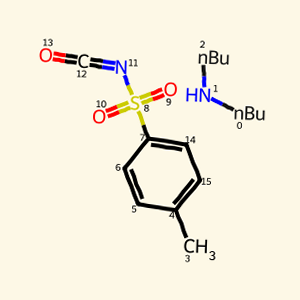 CCCCNCCCC.Cc1ccc(S(=O)(=O)N=C=O)cc1